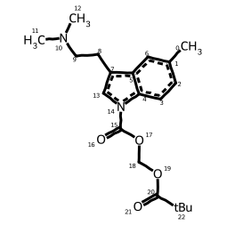 Cc1ccc2c(c1)c(CCN(C)C)cn2C(=O)OCOC(=O)C(C)(C)C